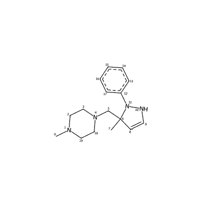 CN1CCN(CC2(C)[C]=CNN2c2ccccc2)CC1